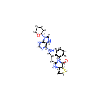 O=c1c2sccc2nc(CCCNc2ncnc3c2ncn3C2CCCCO2)n1-c1ccccc1